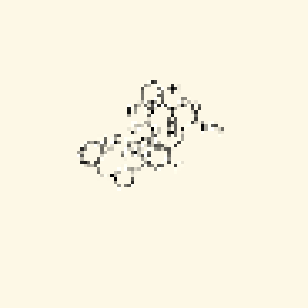 CC(C)(C)OC(=O)N1[C@@H]2CC[C@@H](C2)[C@H]1C(=O)N[C@@H](Cc1ccc(C2=CCN(Cc3ccccc3)C2)cc1F)C(N)=O